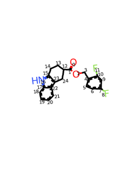 O=C(OCc1ccc(F)cc1F)C1CCc2[nH]c3ccccc3c2C1